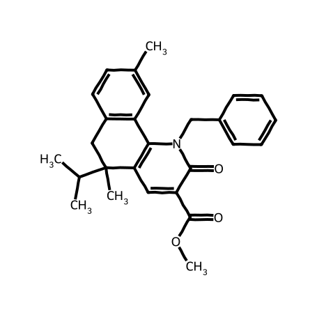 COC(=O)c1cc2c(n(Cc3ccccc3)c1=O)-c1cc(C)ccc1CC2(C)C(C)C